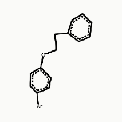 CC(=O)c1ccc(OCCc2ccccc2)cc1